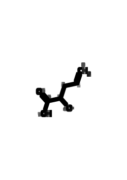 C=CCC([O])C(=O)O